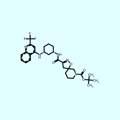 CC(C)(C)OC(=O)N1CCCC2(CC(C(=O)N[C@@H]3CCC[C@H](Nc4cc(C(F)(F)F)nc5ccccc45)C3)=NO2)C1